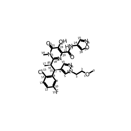 COCCn1cc([C@@H](c2cc(F)ccc2Cl)[C@@H](C)c2nc(C(=O)Nc3cnoc3)c(O)c(=O)n2C)cn1